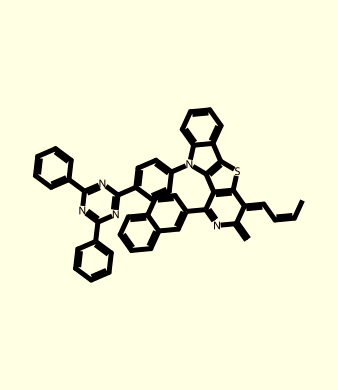 C=c1nc(-c2ccc3ccccc3c2)c2c(sc3c4ccccc4n(-c4ccc(-c5nc(-c6ccccc6)nc(-c6ccccc6)n5)cc4)c32)/c1=C/C=C\C